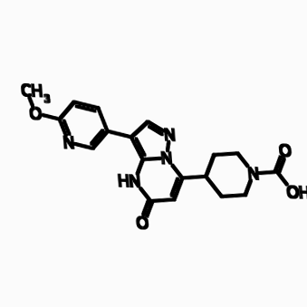 COc1ccc(-c2cnn3c(C4CCN(C(=O)O)CC4)cc(=O)[nH]c23)cn1